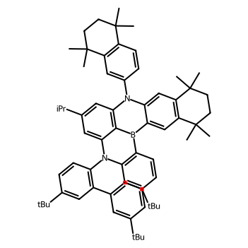 CC(C)c1cc2c3c(c1)N(c1ccc(C(C)(C)C)cc1-c1cccc(C(C)(C)C)c1)c1cc(C(C)(C)C)ccc1B3c1cc3c(cc1N2c1ccc2c(c1)C(C)(C)CCC2(C)C)C(C)(C)CCC3(C)C